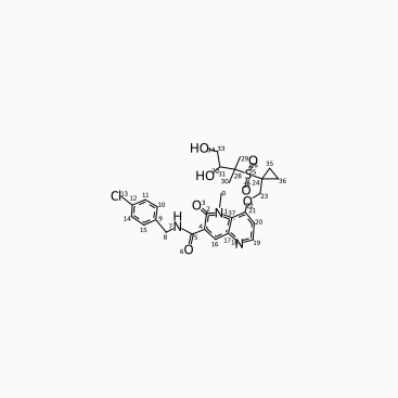 Cn1c(=O)c(C(=O)NCc2ccc(Cl)cc2)cc2nccc(OCC3(S(=O)(=O)C(C)(C)C(O)CO)CC3)c21